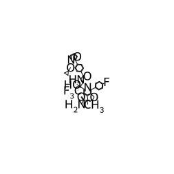 C[C@]1(C(N)=O)COc2c1cc([C@@](O)(CNC(=O)c1ccc(-c3ncco3)c(OC3CC3)c1)C(F)(F)F)nc2-c1ccc(F)cc1